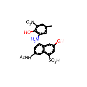 CC(=O)Nc1ccc2cc(O)cc(S(=O)(=O)O)c2c1.Cc1cc(N)c(O)c([N+](=O)[O-])c1